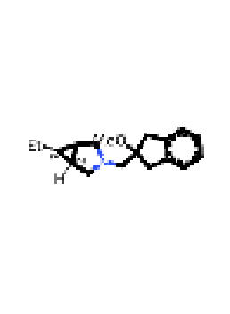 CC[C@H]1C2CN(CC3(OC)Cc4ccccc4C3)C[C@H]21